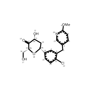 COc1ccc(Cc2cc([C@H]3C[C@@H](O)C(=O)[C@@H](CO)O3)ccc2Cl)cn1